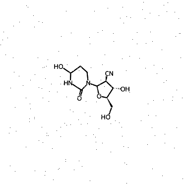 N#C[C@@H]1C(N2CCC(O)NC2=O)O[C@H](CO)[C@H]1O